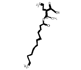 C=CCC(C(=O)O)[C@@H](C)OC(=O)CCCCCCCCCCC